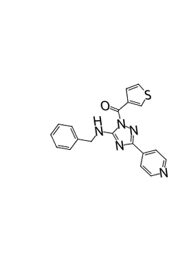 O=C(c1ccsc1)n1nc(-c2ccncc2)nc1NCc1ccccc1